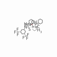 C[C@H](NC(=S)Nc1cc(C(F)(F)F)cc(C(F)(F)F)c1)[C@H]1CCC[C@@]1(C)P(c1ccccc1)c1ccccc1